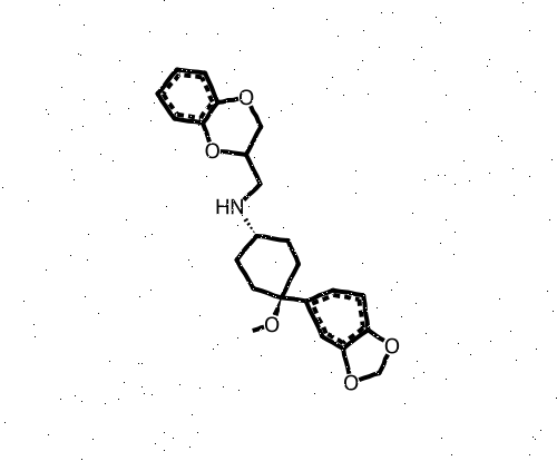 CO[C@]1(c2ccc3c(c2)OCO3)CC[C@@H](NCC2COc3ccccc3O2)CC1